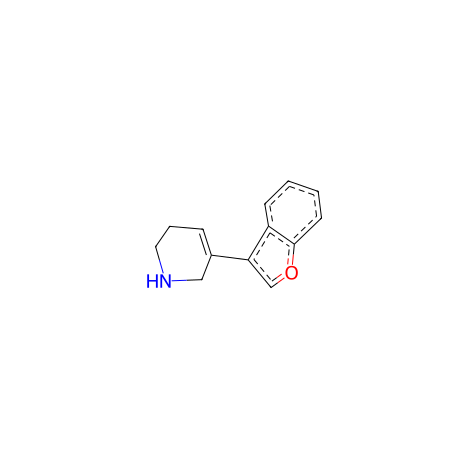 C1=C(c2coc3ccccc23)CNCC1